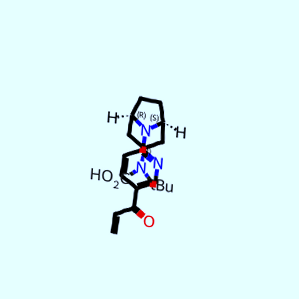 C=CC(=O)c1ccc(N2[C@@H]3CC[C@H]2C[C@@H](N(C(=O)O)C(C)(C)C)C3)nc1